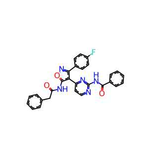 O=C(Cc1ccccc1)Nc1onc(-c2ccc(F)cc2)c1-c1ccnc(NC(=O)c2ccccc2)n1